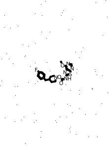 COc1ncnc2sc(NC(=O)ON3CCC(Cc4ccc(F)cc4)CC3)nc12